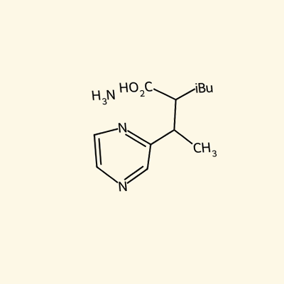 CCC(C)C(C(=O)O)C(C)c1cnccn1.N